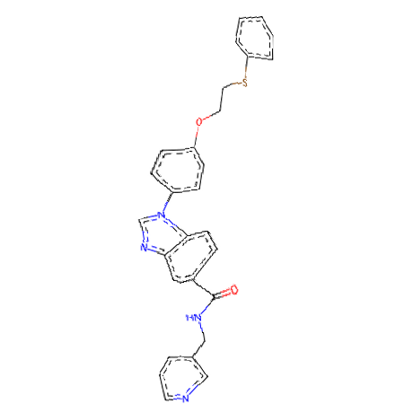 O=C(NCc1cccnc1)c1ccc2c(c1)ncn2-c1ccc(OCCSc2ccccc2)cc1